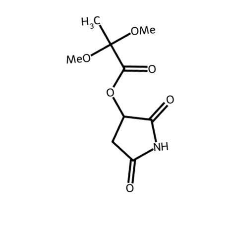 COC(C)(OC)C(=O)OC1CC(=O)NC1=O